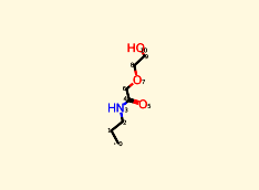 [CH2]CCNC(=O)COCCO